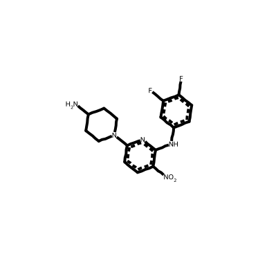 NC1CCN(c2ccc([N+](=O)[O-])c(Nc3ccc(F)c(F)c3)n2)CC1